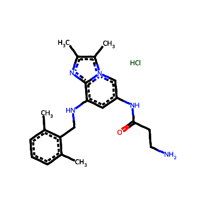 Cc1cccc(C)c1CNc1cc(NC(=O)CCN)cn2c(C)c(C)nc12.Cl